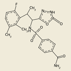 Cc1ccc(F)c(C(C)C(NS(=O)(=O)c2ccc(C(N)=O)cc2)c2n[nH]c(=O)o2)c1C